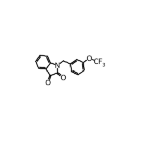 O=C1C(=O)N(Cc2cccc(OC(F)(F)F)c2)c2ccccc21